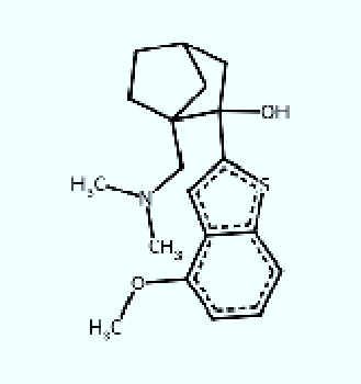 COc1cccc2sc(C3(O)CC4CCC3(CN(C)C)C4)cc12